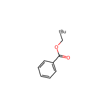 CC(C)(C)COC(=O)c1ccccc1